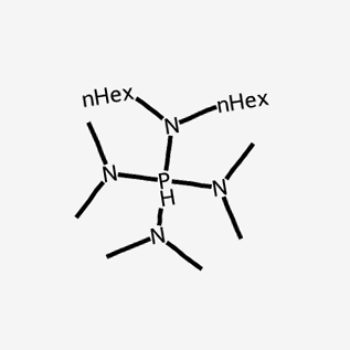 CCCCCCN(CCCCCC)[PH](N(C)C)(N(C)C)N(C)C